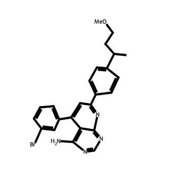 COCCC(C)c1ccc(-c2cc(-c3cccc(Br)c3)c3c(N)ncnc3n2)cc1